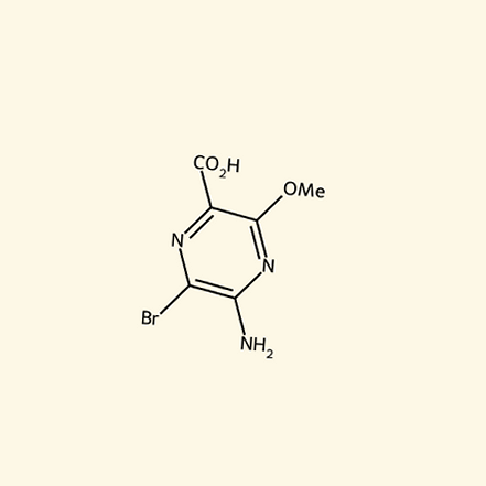 COc1nc(N)c(Br)nc1C(=O)O